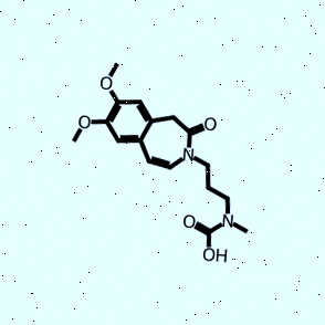 COc1cc2c(cc1OC)CC(=O)N(CCCN(C)C(=O)O)C=C2